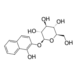 OC[C@H]1O[C@@H](Oc2ccc3ccccc3c2O)[C@H](O)[C@@H](O)[C@@H]1O